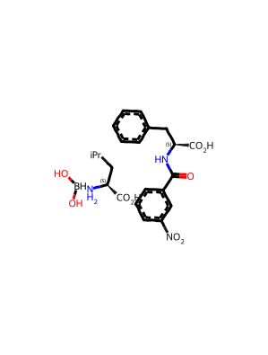 CC(C)C[C@H](N)C(=O)O.O=C(N[C@@H](Cc1ccccc1)C(=O)O)c1cccc([N+](=O)[O-])c1.OBO